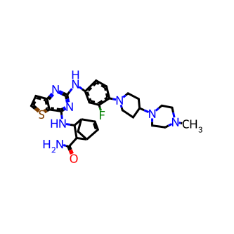 CN1CCN(C2CCN(c3ccc(Nc4nc(NC5C6C=CC(C6)C5C(N)=O)c5sccc5n4)cc3F)CC2)CC1